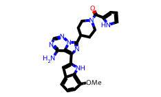 COc1cccc2cc(-c3nc(C4CCN(C(=O)c5ccc[nH]5)CC4)n4ncnc(N)c34)[nH]c12